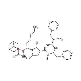 CC1CC(NC(=O)C(Cc2ccccc2)NC(=O)C(N)Cc2ccccc2)C(=O)N1C(CCCCN)C(=O)N1CC2CC(C1)N2CC(N)=O